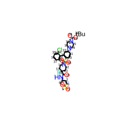 C[C@H](/C=C\S(C)(=O)=O)NC(=O)C1(F)CCN(S(=O)(=O)c2ccc(N3CCN(C(=O)OC(C)(C)C)CC3)cc2-c2ccccc2Cl)CC1